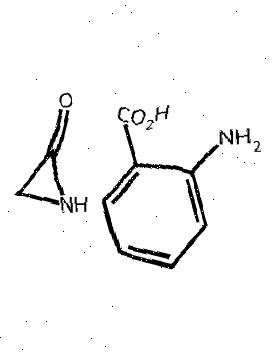 Nc1ccccc1C(=O)O.O=C1CN1